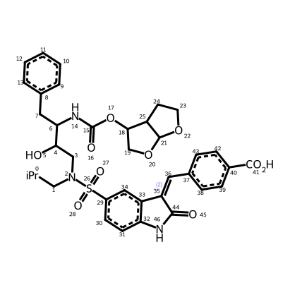 CC(C)CN(CC(O)C(Cc1ccccc1)NC(=O)OC1COC2OCCC12)S(=O)(=O)c1ccc2c(c1)/C(=C/c1ccc(C(=O)O)cc1)C(=O)N2